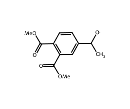 COC(=O)c1ccc(C(C)[O])cc1C(=O)OC